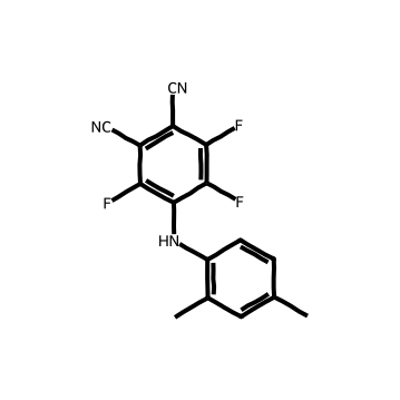 Cc1ccc(Nc2c(F)c(F)c(C#N)c(C#N)c2F)c(C)c1